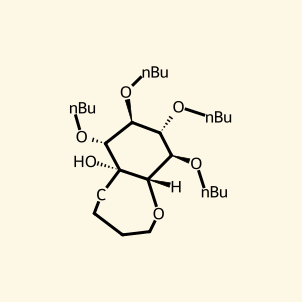 CCCCO[C@@H]1[C@@H](OCCCC)[C@@H]2OCCCC[C@@]2(O)[C@H](OCCCC)[C@H]1OCCCC